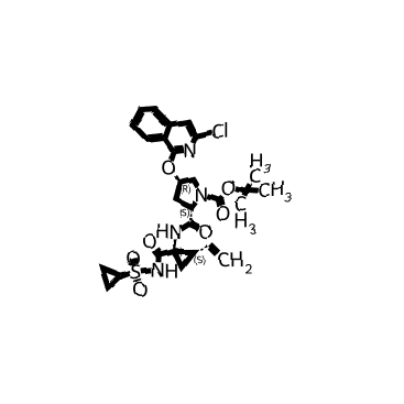 C=C[C@@H]1C[C@]1(NC(=O)[C@@H]1C[C@@H](Oc2nc(Cl)cc3ccccc23)CN1C(=O)OC(C)(C)C)C(=O)NS(=O)(=O)C1CC1